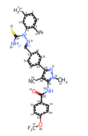 Cc1ccc(C(C)C)c(N(/N=C/c2ccc(-c3nn(C)c(NC(=O)c4ccc(OC(F)(F)F)cc4)c3C#N)cc2)C(N)=S)c1